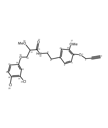 C#CCOc1ccc(CCNC(=O)C(COc2ccc(Cl)c(Cl)c2)OC)cc1OC